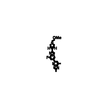 COCCN1C[C@@H]2C(c3cn4cc(-c5cc(C)c6nc(C)cn6n5)cc(F)c4n3)[C@@H]2C1